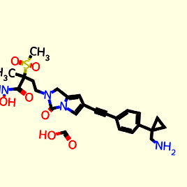 CC(CCN1Cc2cc(C#Cc3ccc(C4(CN)CC4)cc3)cn2C1=O)(C(=O)NO)S(C)(=O)=O.O=CO